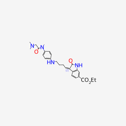 CCOC(=O)c1ccc2c(c1)NC(=O)/C2=C\CCCNc1ccc(N(C)C(=O)CN(C)C)cc1